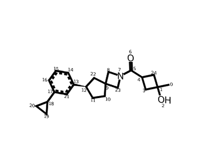 CC1(O)CC(C(=O)N2CC3(CC[C@@H](c4cccc(C5CC5)c4)C3)C2)C1